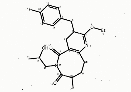 CCOC1=NC2=C(CC1Cc1ccc(F)cc1)C(=O)N(CC(C)O)C(=O)C(C)CC2